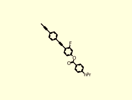 CC#Cc1ccc(C#Cc2ccc(OC(=O)c3ccc(CCC)cc3)cc2F)cc1